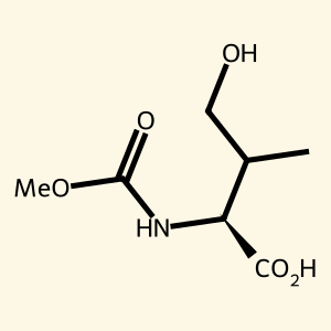 COC(=O)N[C@H](C(=O)O)C(C)CO